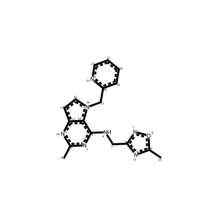 Cc1nc(NCc2noc(C)n2)c2c(ccn2Cc2ccccn2)n1